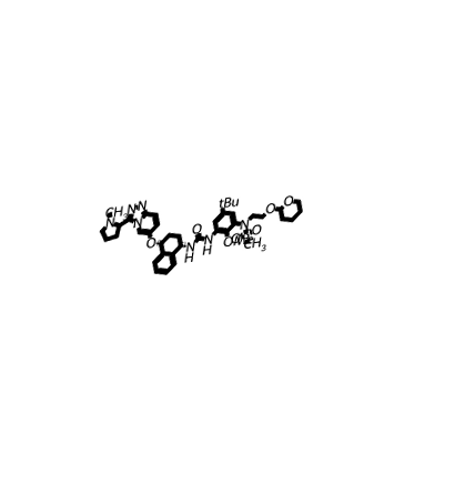 COc1c(NC(=O)N[C@H]2CC[C@@H](Oc3ccc4nnc(C5CCCN5C)n4c3)c3ccccc32)cc(C(C)(C)C)cc1N(CCOC1CCCCO1)S(C)(=O)=O